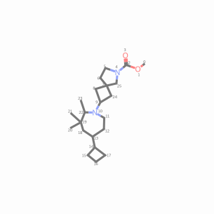 COC(=O)N1CCC2(CC(N3CCC(C4CCC4)CC(C)(C)C3C)C2)C1